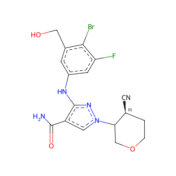 N#C[C@H]1CCOCC1n1cc(C(N)=O)c(Nc2cc(F)c(Br)c(CO)c2)n1